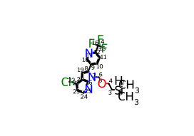 C[SiH](C)CCOCn1c(-c2ccc(C(F)(F)F)nc2)cc2c(Cl)ccnc21